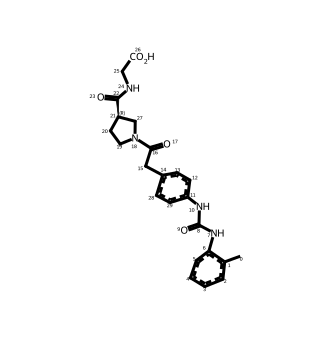 Cc1ccccc1NC(=O)Nc1ccc(CC(=O)N2CC[C@@H](C(=O)NCC(=O)O)C2)cc1